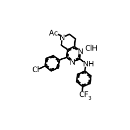 CC(=O)N1CCc2nc(Nc3ccc(C(F)(F)F)cc3)nc(-c3ccc(Cl)cc3)c2C1.Cl